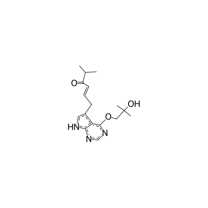 CC(C)C(=O)C=CCc1c[nH]c2ncnc(OCC(C)(C)O)c12